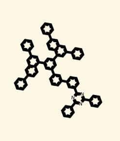 c1ccc(-c2ccc3c(-c4cc(-c5cccc(-c6cccc(-c7nc(-c8ccccc8)nc(-c8ccccc8)n7)c6)c5)cc(-c5cc(-c6ccccc6)cc6cc(-c7ccccc7)ccc56)c4)cc(-c4ccccc4)cc3c2)cc1